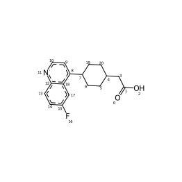 O=C(O)CC1CCC(c2ccnc3ccc(F)cc23)CC1